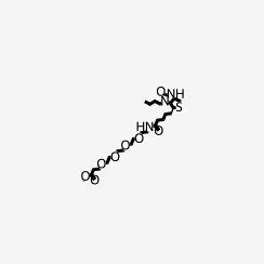 CCCCN1C(=O)NC2CS[C@@H](CCCCC(=O)NCCOCCOCCOCCOCCC(=O)OC)C21